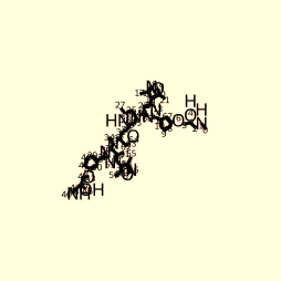 CNCC(O)COc1cccc(-c2nc(-c3c(C)noc3C)cc(N3CC(C)NC(C4CC(N(C)c5nc(-c6cccc(OCC(O)CNC)c6)nc(-c6c(C)noc6C)c5C)CCO4)C3)n2)c1